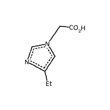 CCc1cn(CC(=O)O)cn1